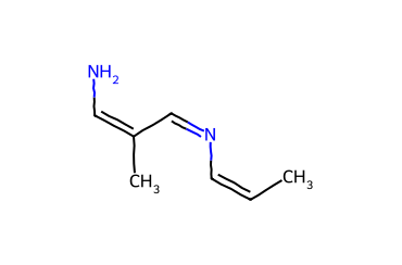 C\C=C/N=C\C(C)=C/N